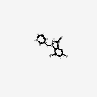 Fc1cc(F)c2c(c1)c(I)nn2Cc1cccnc1